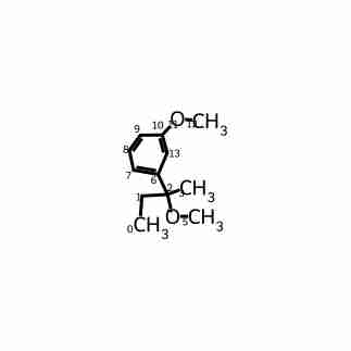 CCC(C)(OC)c1cccc(OC)c1